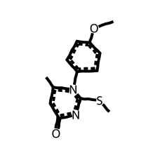 COc1ccc(-n2c(C)cc(=O)nc2SC)cc1